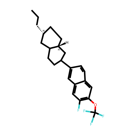 CCC[C@@H]1CC[C@@H]2CC(c3ccc4cc(OC(F)(F)F)c(F)cc4c3)CCC2C1